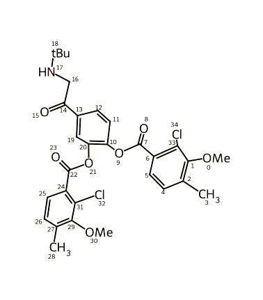 COc1c(C)ccc(C(=O)Oc2ccc(C(=O)CNC(C)(C)C)cc2OC(=O)c2ccc(C)c(OC)c2Cl)c1Cl